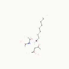 CCCCCCCCCCCCCCCCCC(N)(OC(CC)CC(C)O)OC(CC)CC(C)O